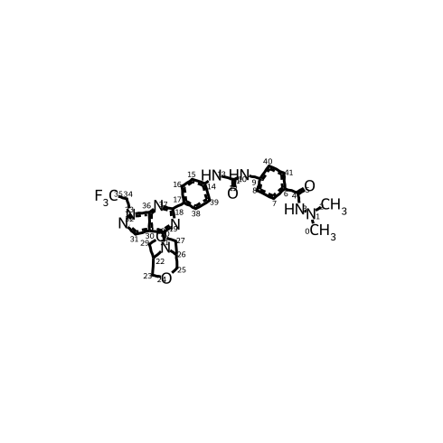 CN(C)NC(=O)c1ccc(NC(=O)Nc2ccc(-c3nc(N4C5COCC4COC5)c4cnn(CC(F)(F)F)c4n3)cc2)cc1